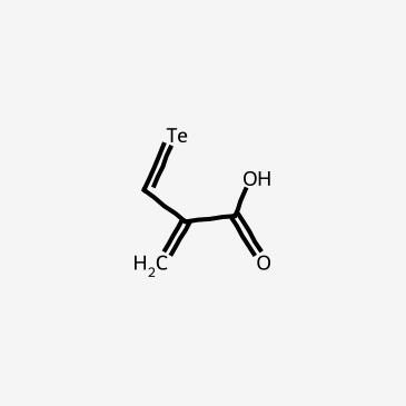 C=C(C=[Te])C(=O)O